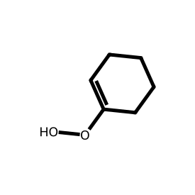 OOC1=CCCCC1